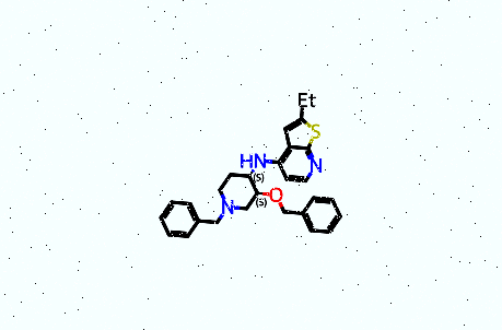 CCc1cc2c(N[C@H]3CCN(Cc4ccccc4)C[C@@H]3OCc3ccccc3)ccnc2s1